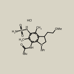 CCCN1CC(CCOC)c2c(C)c(NS(N)(=O)=O)c(C)c(NC(=O)C(C)(C)C)c21.Cl